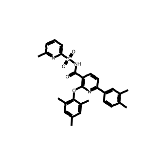 Cc1cc(C)c(Oc2nc(-c3ccc(C)c(C)c3)ccc2C(=O)NS(=O)(=O)c2cccc(C)n2)c(C)c1